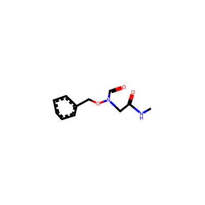 CNC(=O)CN(C=O)OCc1ccccc1